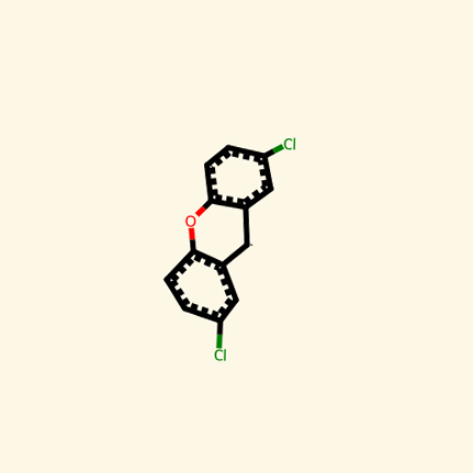 Clc1ccc2c(c1)[CH]c1cc(Cl)ccc1O2